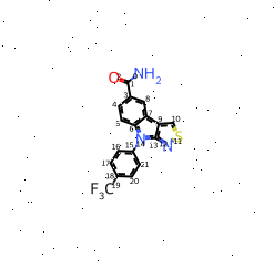 NC(=O)c1ccc2c(c1)c1csnc1n2-c1ccc(C(F)(F)F)cc1